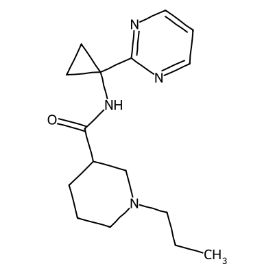 CCCN1CCCC(C(=O)NC2(c3ncccn3)CC2)C1